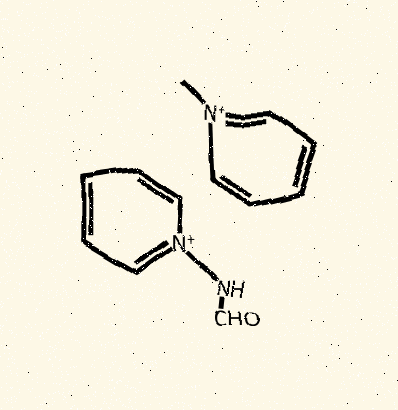 C[n+]1ccccc1.O=CN[n+]1ccccc1